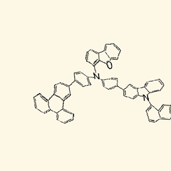 c1ccc2c(-n3c4ccccc4c4cc(-c5ccc(N(c6ccc(-c7ccc8c9ccccc9c9ccccc9c8c7)cc6)c6cccc7c6oc6ccccc67)cc5)ccc43)cccc2c1